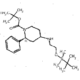 CC(C)(C)OC(=O)N1CCC(NCCO[Si](C)(C)C(C)(C)C)C[C@H]1c1ccccc1